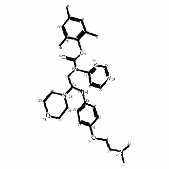 Cc1cc(C)c(OC(=O)N(CC(Nc2ccc(OCCN(C)C)cc2)N2CCOCC2)c2ccncn2)c(C)c1